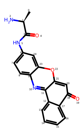 C[C@H](N)C(=O)Nc1ccc2nc3c4ccccc4c(=O)cc-3oc2c1